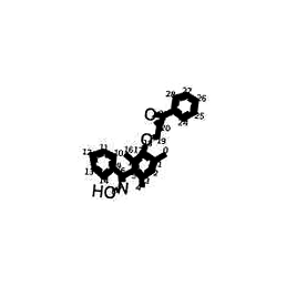 Cc1cc(C)c(C(=NO)c2ccccc2)c(C)c1OCC1OC1c1ccccc1